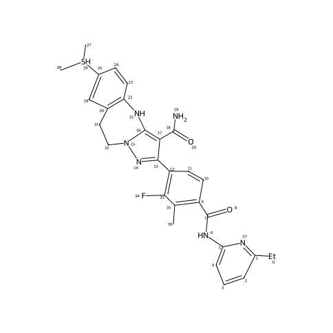 CCc1cccc(NC(=O)c2ccc(-c3nn4c(c3C(N)=O)Nc3ccc([SH](C)C)cc3CC4)c(F)c2C)n1